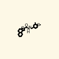 COc1ccc(/C=N/NC(=O)c2cc3c(ccc4ccccc43)o2)cc1C